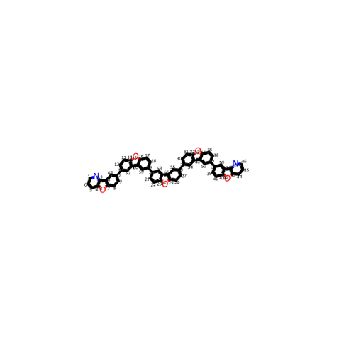 c1cnc2c(c1)oc1ccc(-c3ccc4oc5ccc(-c6ccc7oc8ccc(-c9ccc%10oc%11ccc(-c%12ccc%13oc%14cccnc%14c%13c%12)cc%11c%10c9)cc8c7c6)cc5c4c3)cc12